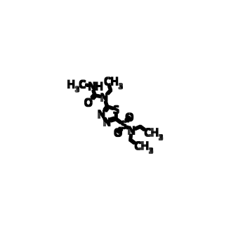 CCN(C(=O)NC)c1nnc(S(=O)(=O)N(CC)CC)s1